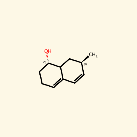 C[C@H]1C=CC2=CCC[C@H](O)C2C1